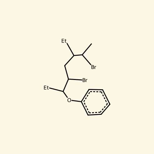 CCC(CC(Br)C(CC)Oc1ccccc1)C(C)Br